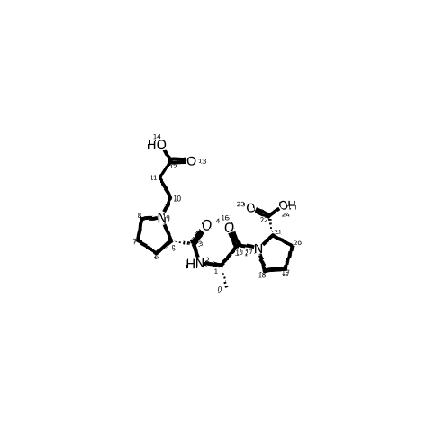 C[C@H](NC(=O)[C@@H]1CCCN1CCC(=O)O)C(=O)N1CCC[C@H]1C(=O)O